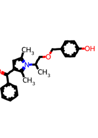 Cc1cc(C(=O)c2ccccc2)c(C)n1C(C)COCc1ccc(O)cc1